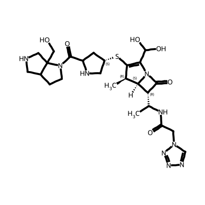 CC(NC(=O)Cn1cnnn1)[C@H]1C(=O)N2C(C(O)O)=C(S[C@@H]3CNC(C(=O)N4CCC5CNCC54CO)C3)[C@H](C)[C@H]12